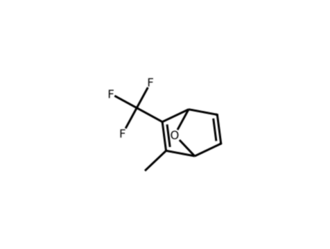 CC1=C(C(F)(F)F)C2C=CC1O2